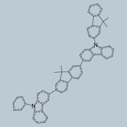 CC1(C)c2cc(-c3ccc4c(c3)c3ccccc3n4-c3ccccc3)ccc2-c2ccc(-c3ccc4c(c3)c3ccccc3n4-c3ccc4c(c3)C(C)(C)c3ccccc3-4)cc21